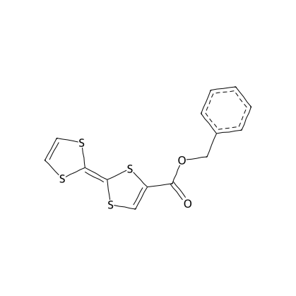 O=C(OCc1ccccc1)C1=CSC(=C2SC=CS2)S1